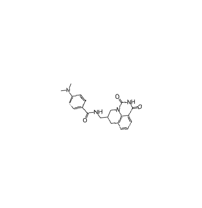 CN(C)c1ccc(C(=O)NCC2Cc3cccc4c(=O)[nH]c(=O)n(c34)C2)cc1